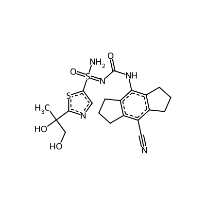 CC(O)(CO)c1ncc(S(N)(=O)=NC(=O)Nc2c3c(c(C#N)c4c2CCC4)CCC3)s1